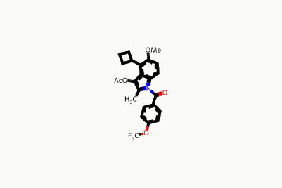 COc1ccc2c(c(OC(C)=O)c(C)n2C(=O)c2ccc(OC(F)(F)F)cc2)c1C1CCC1